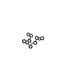 c1cc(-c2cccc3ccccc23)cc(N(c2cccc(-c3cccc4c3sc3ccccc34)c2)c2ccccc2-c2ccc3ccccc3c2)c1